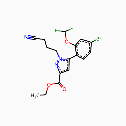 CCOC(=O)c1cc(-c2ccc(Br)cc2OC(F)F)n(CCCC#N)n1